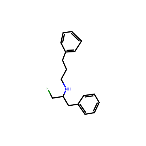 FCC(Cc1ccccc1)NCCCc1ccccc1